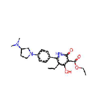 CCOC(=O)c1c(O)c(CC)c(-c2ccc(N3CCC(N(C)C)C3)cc2)[nH]c1=O